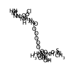 Cc1ncsc1-c1ccc(CNC(=O)[C@@H]2C[C@@H](O)CN2C(=O)C(NC(=O)CCOCCOCCOCCOCCOCCC(=O)N2CCN(CCC(NC(=O)C3(N)CCN(c4ncnc5[nH]ccc45)CC3)c3ccc(Cl)cc3)CC2)C(C)(C)C)cc1